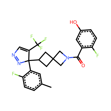 Cc1ccc(F)c(C2(C3CC4(C3)CN(C(=O)c3cc(O)ccc3F)C4)N=NC=C2C(F)(F)F)c1